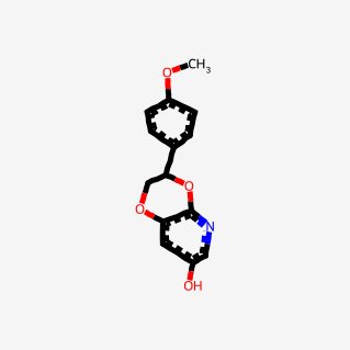 COc1ccc(C2COc3cc(O)cnc3O2)cc1